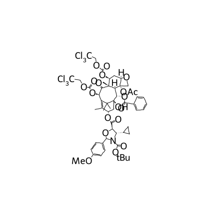 COc1ccc(C2O[C@@H](C(=O)O[C@H]3C[C@@]4(O)[C@@H](OC(=O)c5ccccc5)[C@@H]5[C@]6(OC(C)=O)CO[C@@H]6C[C@H](OC(=O)OCC(Cl)(Cl)Cl)[C@@]5(C)C(=O)[C@H](OC(=O)OCC(Cl)(Cl)Cl)C(=C3C)C4(C)C)[C@H](C3CC3)N2C(=O)OC(C)(C)C)cc1